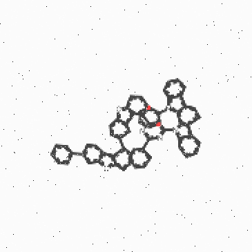 c1ccc(-c2ccc3c(c2)oc2cccc(-c4ccc5oc6cccc(-c7nc(-c8ccccc8)nc(-n8c9ccccc9c9ccc%10c%11ccccc%11n(-c%11ccccc%11)c%10c98)n7)c6c5c4)c23)cc1